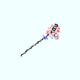 CCCCCCCCCCCCCCCCCCCCCCNC(=O)CCCC(=O)OCC(=O)[C@]1(O)Cc2c(O)c3c(c(O)c2[C@@H](OC2CC(N)C(O)C(C)O2)C1)C(=O)c1c(OC)cccc1C3=O